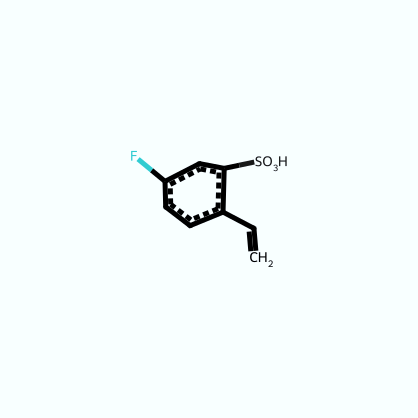 C=Cc1ccc(F)cc1S(=O)(=O)O